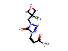 COC(=O)/C=C\n1nnn(CC2(C)COC2)c1=O